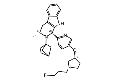 C[C@@H]1Cc2c([nH]c3ccccc23)[C@@H](c2ccc(O[C@H]3CCN(CCCF)C3)cn2)N1C12CCC(C1)C2